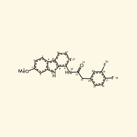 COc1ccc2c(c1)[nH]c1c(NC(=O)Cc3ccc(F)c(F)c3)nccc12